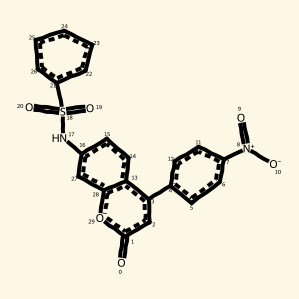 O=c1cc(-c2ccc([N+](=O)[O-])cc2)c2ccc(NS(=O)(=O)c3ccccc3)cc2o1